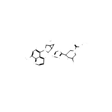 CC(C)(C)OC(=O)N1CC(F)CC(c2nnc([C@]34CN(c5ccc(C#N)c6ncccc56)C[C@@]3(C(F)(F)F)C4)o2)C1